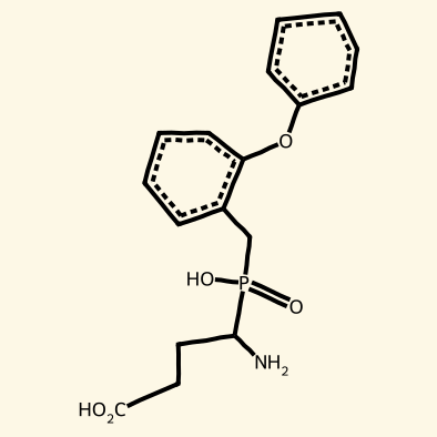 NC(CCC(=O)O)P(=O)(O)Cc1ccccc1Oc1ccccc1